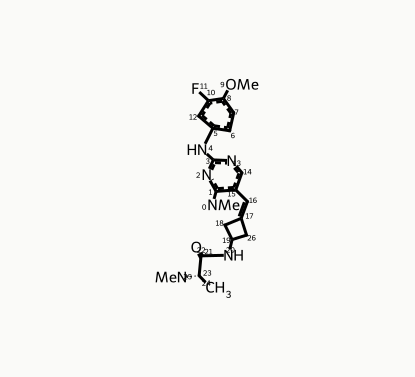 CNc1nc(Nc2ccc(OC)c(F)c2)ncc1C=C1CC(NC(=O)[C@H](C)NC)C1